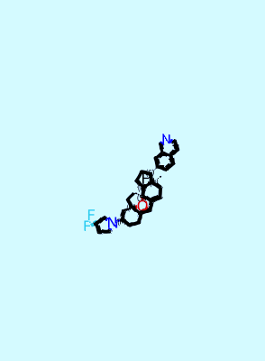 C[C@]12CC=C3C=C4CC[C@@H](N5CCC(F)(F)C5)C[C@]45CC[C@]3(O5)[C@@H]1CC[C@@H]2c1ccc2ccncc2c1